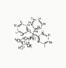 [O-][Cl+3]([O-])([O-])OPC(c1ccccc1)(c1ccccc1)c1ccccc1